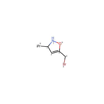 CC(C)C1C=C(CBr)ON1